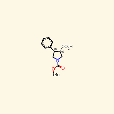 CC(C)(C)OC(=O)N1C[C@@H](C(=O)O)[C@H](c2ccccc2)C1